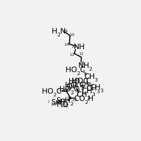 CC(=O)O.CC(=O)O.CC(=O)O.CC(=O)O.CC(=O)O.NCCNCCN.O=C(O)C(O)C(O)C(=O)O.[SnH2].[SnH2]